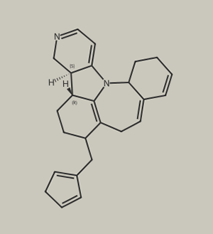 C1=CC(CC2CC[C@H]3C4=C2CC=C2C=CCCC2N4C2=CC=NC[C@@H]23)=CC1